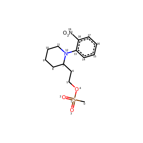 CS(=O)(=O)OCCC1CCCCN1c1ccccc1[N+](=O)[O-]